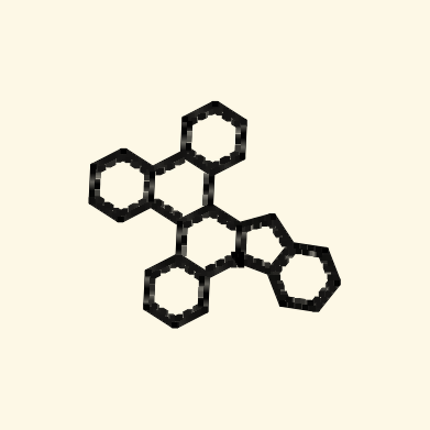 c1ccc2c(c1)cc1c3c4ccccc4c4ccccc4c3c3ccccc3n21